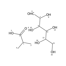 CC(C)C(=O)O.O=CC(O)C(O)C(O)C(O)CO